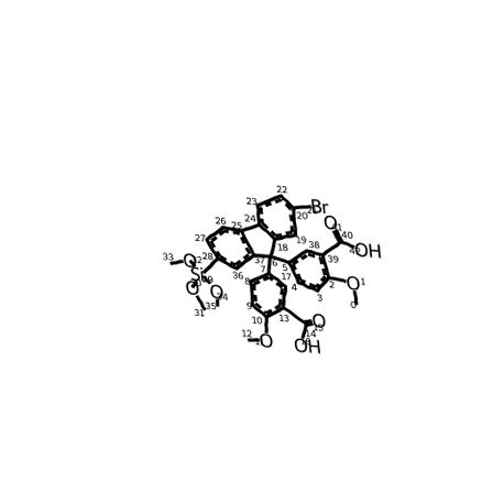 COc1ccc(C2(c3ccc(OC)c(C(=O)O)c3)c3cc(Br)ccc3-c3ccc([Si](OC)(OC)OC)cc32)cc1C(=O)O